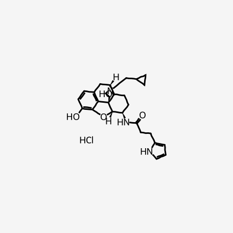 Cl.O=C(CCc1ccc[nH]1)N[C@@H]1CC[C@@]2(O)[C@H]3Cc4ccc(O)c5c4[C@@]2(CCN3CC2CC2)[C@H]1O5